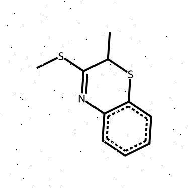 CSC1=Nc2ccccc2SC1C